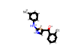 CCc1ccccc1C(=O)c1cnc(Nc2cccc(C#N)c2)s1